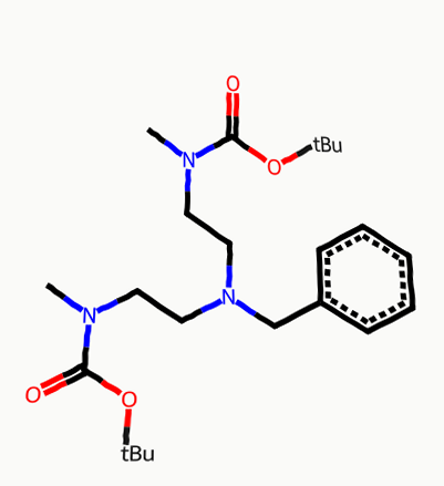 CN(CCN(CCN(C)C(=O)OC(C)(C)C)Cc1ccccc1)C(=O)OC(C)(C)C